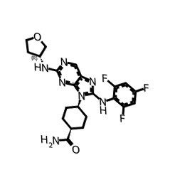 NC(=O)[C@H]1CC[C@@H](n2c(Nc3c(F)cc(F)cc3F)nc3cnc(N[C@@H]4CCOC4)nc32)CC1